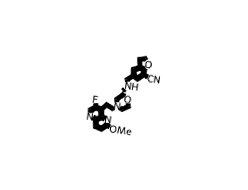 COc1ccc2ncc(F)c(CCN3CCO[C@@H](CNCc4cc(C#N)c5c(c4)CCO5)C3)c2n1